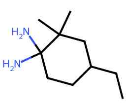 CCC1CCC(N)(N)C(C)(C)C1